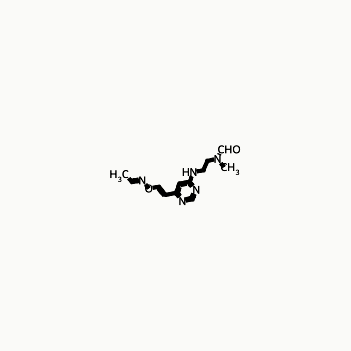 C/C=N/O/C=C/c1cc(NCCN(C)C=O)ncn1